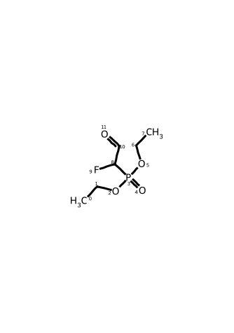 CCOP(=O)(OCC)C(F)C=O